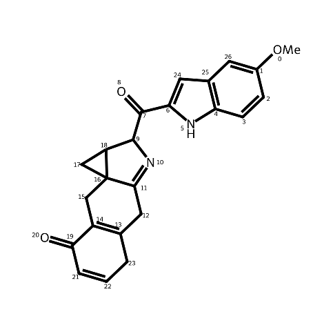 COc1ccc2[nH]c(C(=O)C3N=C4CC5=C(CC46CC36)C(=O)C=CC5)cc2c1